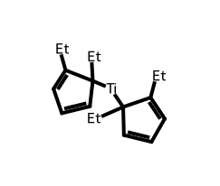 CCC1=CC=C[C]1(CC)[Ti][C]1(CC)C=CC=C1CC